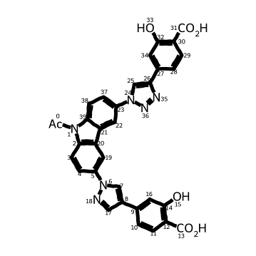 CC(=O)n1c2ccc(-n3cc(-c4ccc(C(=O)O)c(O)c4)cn3)cc2c2cc(-n3cc(-c4ccc(C(=O)O)c(O)c4)nn3)ccc21